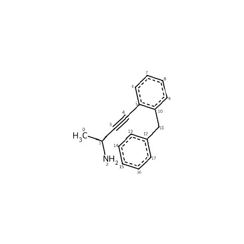 CC(N)C#Cc1ccccc1Cc1ccccc1